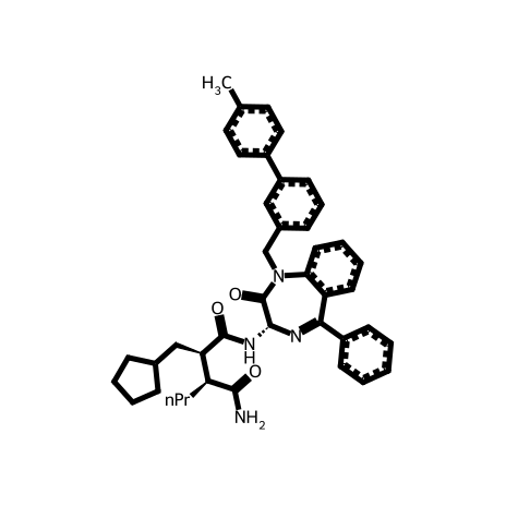 CCC[C@H](C(N)=O)[C@@H](CC1CCCC1)C(=O)N[C@H]1N=C(c2ccccc2)c2ccccc2N(Cc2cccc(-c3ccc(C)cc3)c2)C1=O